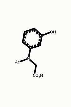 CC(=O)N(CC(=O)O)c1cccc(O)c1